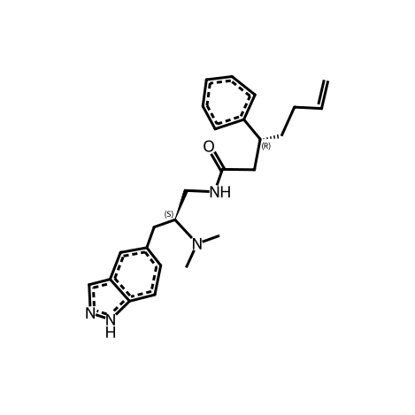 C=CCC[C@H](CC(=O)NC[C@H](Cc1ccc2[nH]ncc2c1)N(C)C)c1ccccc1